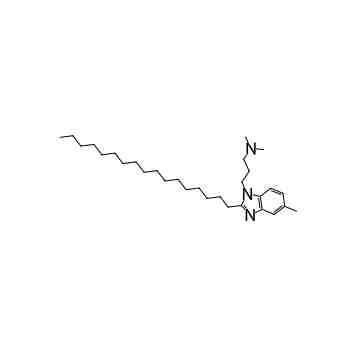 CCCCCCCCCCCCCCCCCc1nc2cc(C)ccc2n1CCCN(C)C